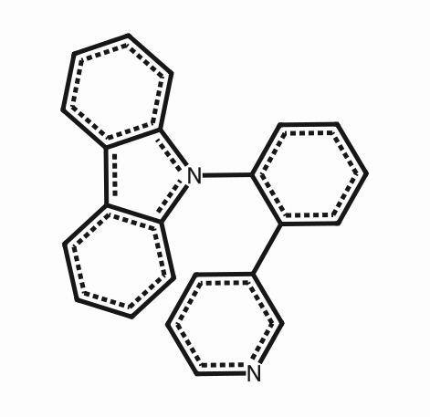 c1cncc(-c2ccccc2-n2c3ccccc3c3ccccc32)c1